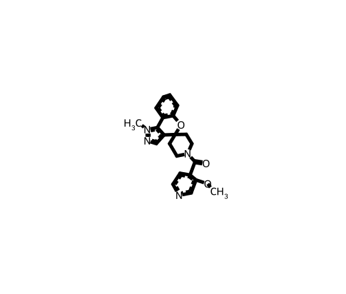 COc1cnccc1C(=O)N1CCC2(CC1)Oc1ccccc1-c1c2cnn1C